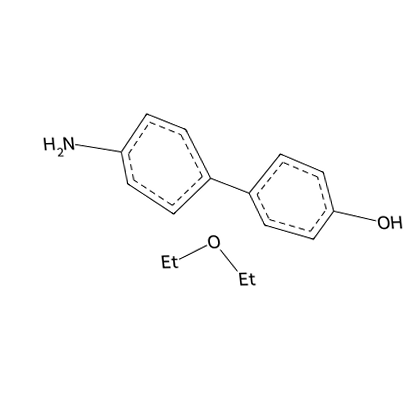 CCOCC.Nc1ccc(-c2ccc(O)cc2)cc1